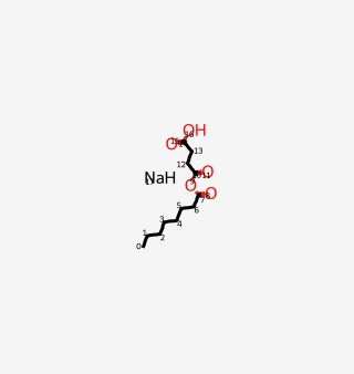 CCCCCCCC(=O)OC(=O)CCC(=O)O.[NaH]